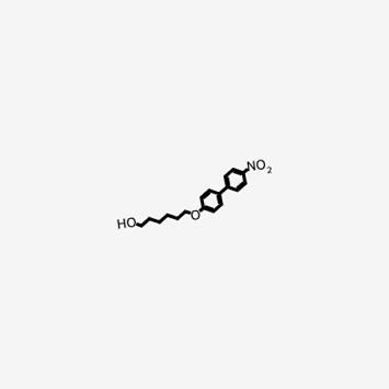 O=[N+]([O-])c1ccc(-c2ccc(OCCCCCCO)cc2)cc1